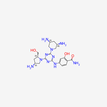 NC(=O)c1ccc(Nc2nc(N3C[C@H](N)C[C@H](N)C3)nc(N3C[C@@H](N)C[C@H]3CO)n2)cc1O